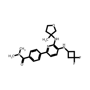 CN(C)C(=O)c1ccc(-c2ccc(NC3CC(F)(F)C3)c(NC3(C)CCOC3)n2)cc1